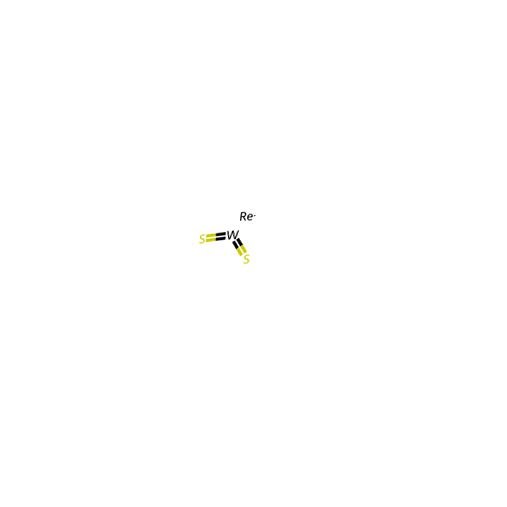 [Re].[S]=[W]=[S]